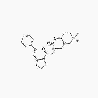 N[C@@H](CC(=O)N1CCC[C@H]1COc1ccccc1)CN1CC(F)(F)CCC1=O